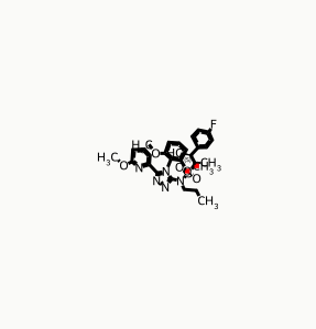 CCCN(c1nnc(-c2cccc(OC)n2)n1-c1c(OC)cccc1OC)S(=O)(=O)[C@H](C)[C@@H](O)c1ccc(F)cc1